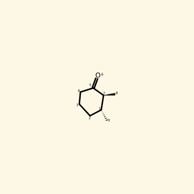 C[C@@H]1CCCC(=O)[C@H]1C